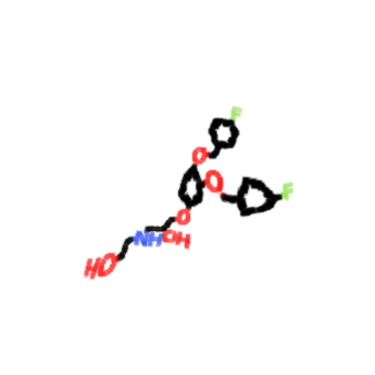 OCCNCC(O)COc1ccc(OCc2ccc(F)cc2)c(OCc2ccc(F)cc2)c1